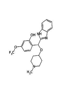 CN1CCC(OC(c2nc3ccccc3[nH]2)c2ccc(OC(F)(F)F)cc2O)CC1